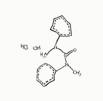 C[N](c1ccccc1)[Ti](=[O])[N](C)c1ccccc1.Cl.Cl